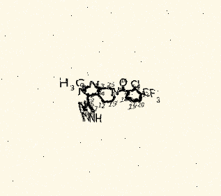 Cc1nc2c(c(-c3c[nH]nn3)n1)CCN(C(=O)c1cccc(C(F)(F)F)c1Cl)C2